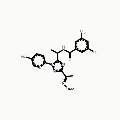 CO/N=C(\C)c1nc(C(C)NC(=O)c2cc(C(F)(F)F)cc(C(F)(F)F)c2)n(-c2ccc(C#N)cn2)n1